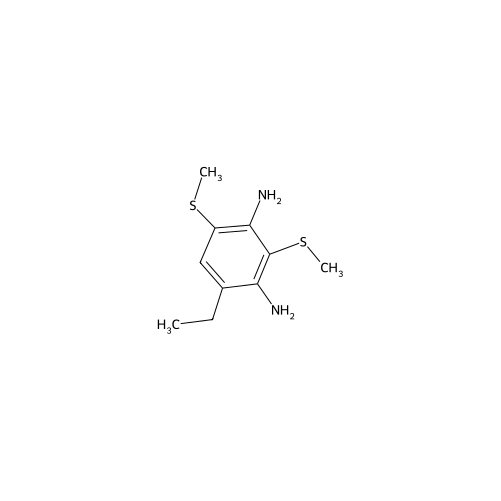 CCc1cc(SC)c(N)c(SC)c1N